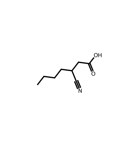 CCCCC(C#N)CC(=O)O